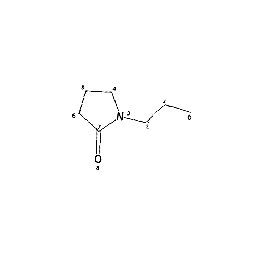 CC[CH]N1CCCC1=O